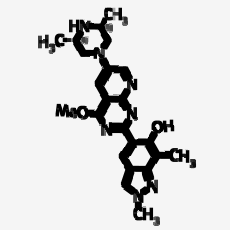 COc1nc(-c2cc3cn(C)nc3c(C)c2O)nc2ncc(N3C[C@H](C)N[C@@H](C)C3)cc12